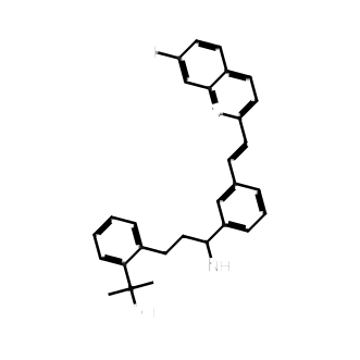 CC(C)(O)c1ccccc1CCC(N)c1cccc(C=Cc2ccc3ccc(Cl)cc3n2)c1